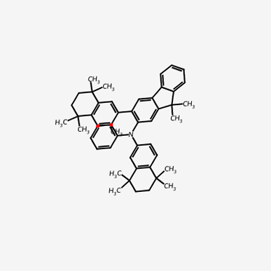 Cc1cc2c(cc1-c1cc3c(cc1N(c1ccccc1)c1ccc4c(c1)C(C)(C)CCC4(C)C)C(C)(C)c1ccccc1-3)C(C)(C)CCC2(C)C